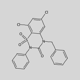 O=C1N(Cc2ccccc2)c2cc(Cl)cc(Cl)c2S(=O)(=O)N1c1ccccc1